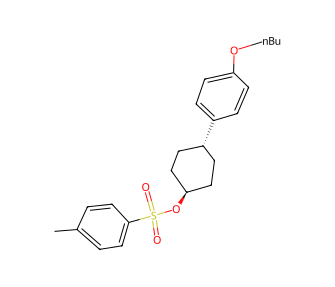 CCCCOc1ccc([C@H]2CC[C@H](OS(=O)(=O)c3ccc(C)cc3)CC2)cc1